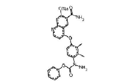 COc1cc2nccc(Oc3ccc(N(N)C(=O)Oc4ccccc4)c(C)c3C)c2cc1C(N)=O